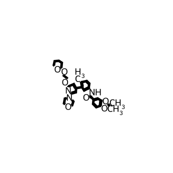 Cc1ccc(NC(=O)c2ccc3c(c2)OC(C)(C)O3)cc1-c1cc(OCCOC2CCCCO2)nc(N2CCOCC2)c1